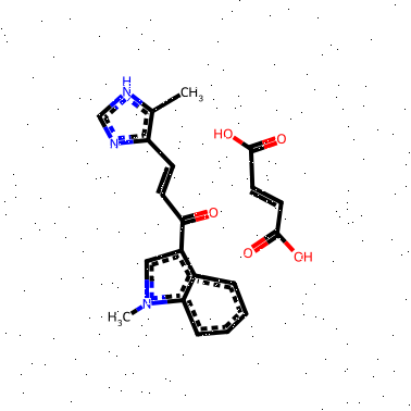 Cc1[nH]cnc1C=CC(=O)c1cn(C)c2ccccc12.O=C(O)C=CC(=O)O